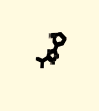 CC(C)c1noc(C2=CCCNC2)n1